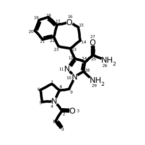 C=CC(=O)N1CCCC1Cn1nc(C2CCOc3ccccc3C2)c(C(N)=O)c1N